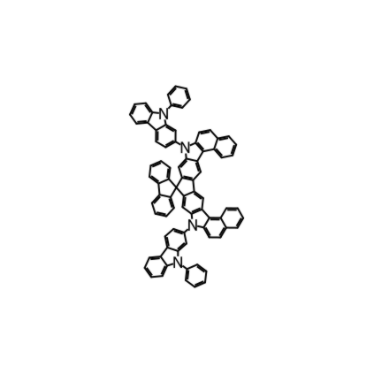 c1ccc(-n2c3ccccc3c3ccc(-n4c5cc6c(cc5c5c7ccccc7ccc54)-c4cc5c7c8ccccc8ccc7n(-c7ccc8c9ccccc9n(-c9ccccc9)c8c7)c5cc4C64c5ccccc5-c5ccccc54)cc32)cc1